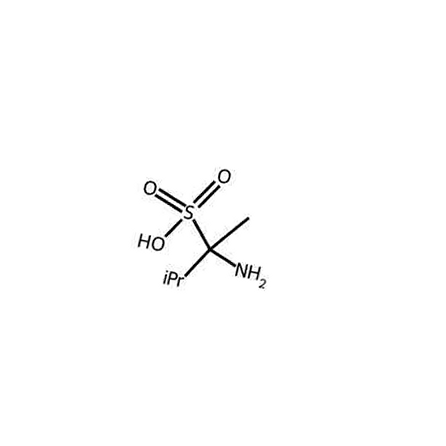 CC(C)C(C)(N)S(=O)(=O)O